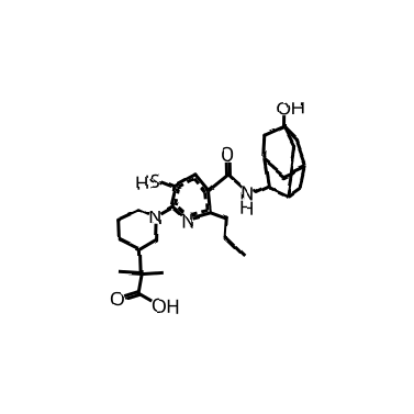 CCCc1nc(N2CCCC(C(C)(C)C(=O)O)C2)c(S)cc1C(=O)NC1C2CC3CC1CC(O)(C3)C2